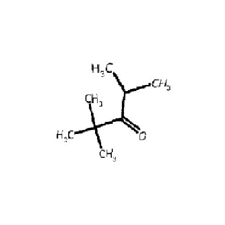 C[C](C)C(=O)C(C)(C)C